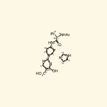 CC(=O)N[C@@H](C(=O)Nc1ccc(-c2ncc(C(=O)O)c(O)n2)cc1)C(C)C.c1c[nH]cn1